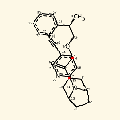 C[C@@H](COCC(=O)N1CC2CCC(C1)N2c1ccc(C#N)cn1)c1ccccc1